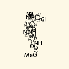 COCCOC(=O)Nc1ccc(-c2cnc([C@@H]3CCc4cc(-c5cc(Cl)ccc5-n5cnnn5)cc(=O)n43)[nH]2)nc1